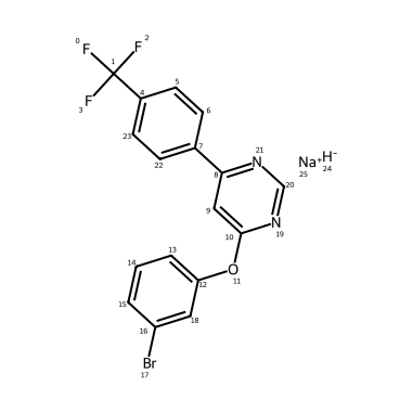 FC(F)(F)c1ccc(-c2cc(Oc3cccc(Br)c3)ncn2)cc1.[H-].[Na+]